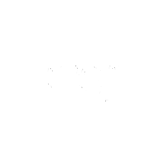 Nc1c[nH]c2ncc(F)cc12.O=[N+]([O-])c1c[nH]c2ncc(F)cc12